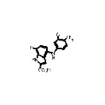 CCOC(=O)c1cc2c(Nc3ccc(C(F)(F)F)c(Cl)c3)ccc(F)c2[nH]1